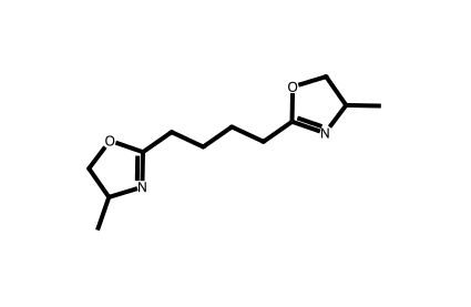 CC1COC(CCCCC2=NC(C)CO2)=N1